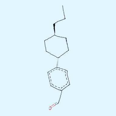 CCC[C@H]1CC[C@H](c2ccc(C=O)cc2)CC1